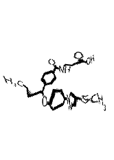 CCCC(Oc1ccc(-n2cc(SC)cn2)cc1)c1ccc(C(=O)NCCC(=O)O)cc1